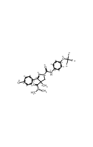 CN(C)C(=O)C1(C)CN(C(=O)Nc2ccc(OC(F)(F)F)cc2)N=C1c1ccc(Cl)cc1